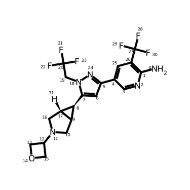 Nc1ncc(-c2cc([C@H]3C4CN(C5COC5)C[C@@H]43)n(CC(F)(F)F)n2)cc1C(F)(F)F